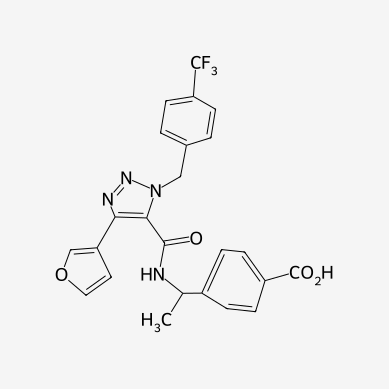 CC(NC(=O)c1c(-c2ccoc2)nnn1Cc1ccc(C(F)(F)F)cc1)c1ccc(C(=O)O)cc1